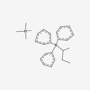 CCC(C)[B-](c1ccccc1)(c1ccccc1)c1ccccc1.C[N+](C)(C)C